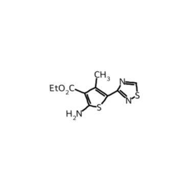 CCOC(=O)c1c(N)sc(-c2ncsn2)c1C